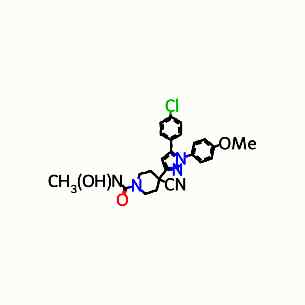 COc1ccc(-n2nc(C3(C#N)CCN(C(=O)N(C)O)CC3)cc2-c2ccc(Cl)cc2)cc1